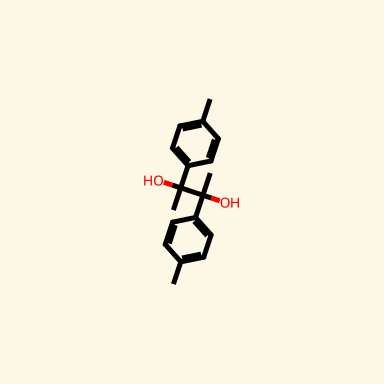 Cc1ccc(C(C)(O)C(C)(O)c2ccc(C)cc2)cc1